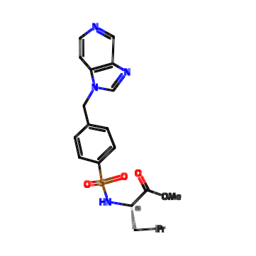 COC(=O)[C@H](CC(C)C)NS(=O)(=O)c1ccc(Cn2cnc3cnccc32)cc1